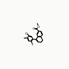 COC(=O)c1ccc2c(c1)C(c1cc(Cl)c(C)cc1F)=CCC2